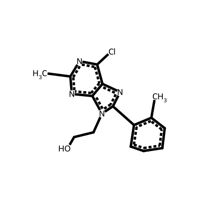 Cc1nc(Cl)c2nc(-c3ccccc3C)n(CCO)c2n1